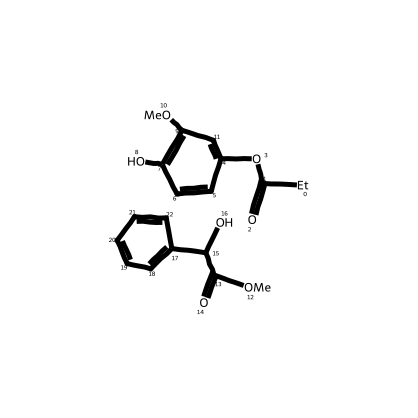 CCC(=O)Oc1ccc(O)c(OC)c1.COC(=O)C(O)c1ccccc1